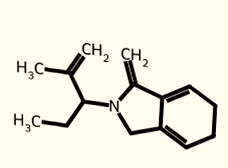 C=C(C)C(CC)N1CC2=CCCC=C2C1=C